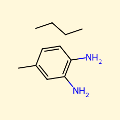 CCCC.Cc1ccc(N)c(N)c1